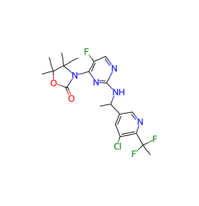 CC(Nc1ncc(F)c(N2C(=O)OC(C)(C)C2(C)C)n1)c1cnc(C(C)(F)F)c(Cl)c1